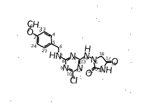 COc1ccc(CNc2nc(Cl)nc(NN3CC(=O)NC3=O)n2)cc1